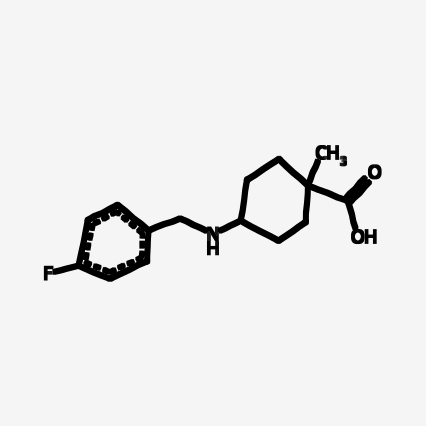 CC1(C(=O)O)CCC(NCc2ccc(F)cc2)CC1